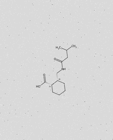 CC(C)CC(=O)NC[C@@H]1CCCC[C@@H]1C(=O)O